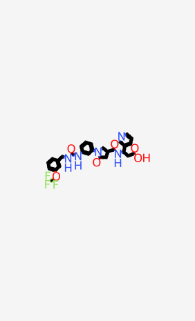 O=C(O)CC(NC(=O)C1CC(=O)N(c2cccc(NC(=O)NCc3cccc(OC(F)(F)F)c3)c2)C1)c1cccnc1